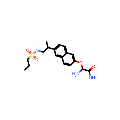 CCCS(=O)(=O)NCC(C)c1ccc2cc(OC(N)C([NH])=O)ccc2c1